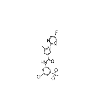 Cc1cc(C(=O)Nc2cc(Cl)cc(S(C)(=O)=O)c2)cn1-c1ncc(F)cn1